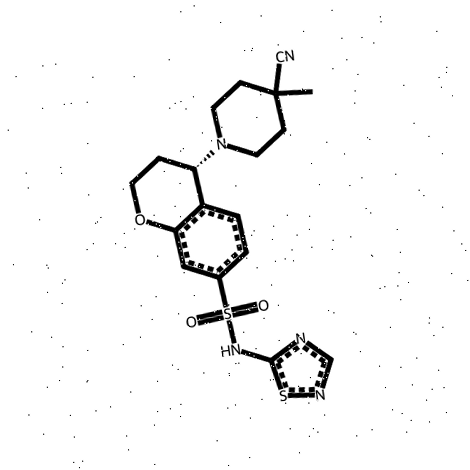 CC1(C#N)CCN([C@H]2CCOc3cc(S(=O)(=O)Nc4ncns4)ccc32)CC1